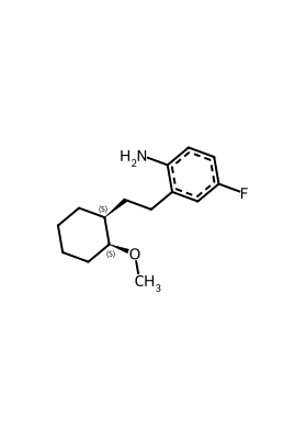 CO[C@H]1CCCC[C@H]1CCc1cc(F)ccc1N